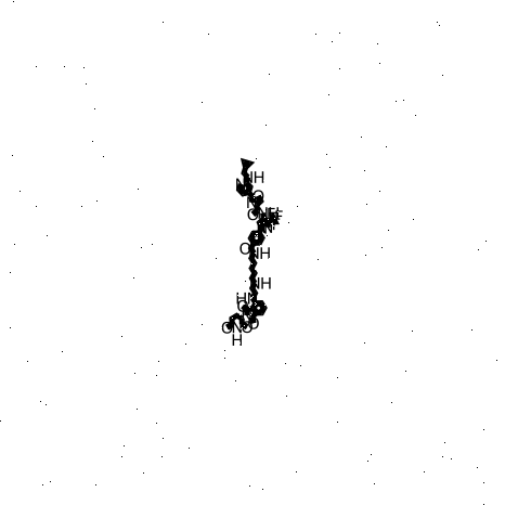 O=C1CCC(N2C(=O)c3cccc(NCCNCCCCCNC(=O)c4ccc(-n5cc(NC(=O)c6coc(-c7ccnc(NCC8CC8)c7)n6)c(C(F)(F)F)n5)cc4)c3C2=O)C(=O)N1